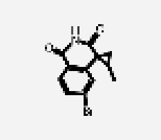 CC1CC12C(=O)NC(=O)c1ccc(Br)cc12